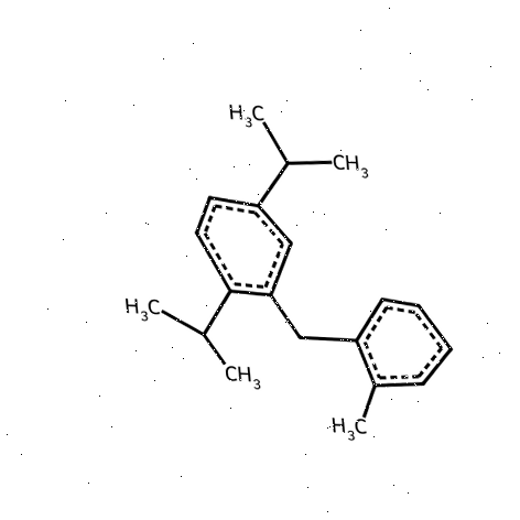 Cc1ccccc1Cc1cc(C(C)C)ccc1C(C)C